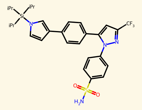 CC(C)[Si](C(C)C)(C(C)C)n1ccc(-c2ccc(-c3cc(C(F)(F)F)nn3-c3ccc(S(N)(=O)=O)cc3)cc2)c1